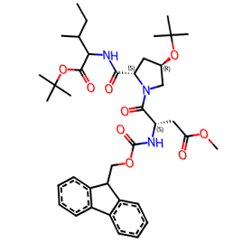 CCC(C)C(NC(=O)[C@@H]1C[C@@H](OC(C)(C)C)CN1C(=O)[C@H](CC(=O)OC)NC(=O)OCC1c2ccccc2-c2ccccc21)C(=O)OC(C)(C)C